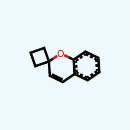 C1=CC2(CCC2)Oc2ccccc21